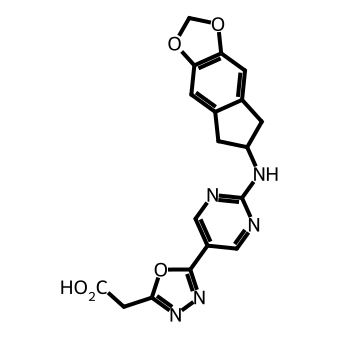 O=C(O)Cc1nnc(-c2cnc(NC3Cc4cc5c(cc4C3)OCO5)nc2)o1